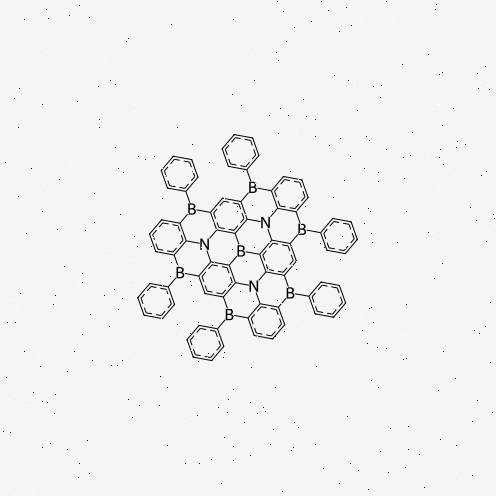 c1ccc(B2c3cccc4c3N3c5c2cc2c6c5B5c7c3c(cc3c7N7c8c(cccc8B(c8ccccc8)c8cc9c(c5c87)N6c5c(cccc5B9c5ccccc5)B2c2ccccc2)B3c2ccccc2)B4c2ccccc2)cc1